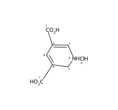 Cl.O=C(O)C1=CNCC(C(=O)O)=C1